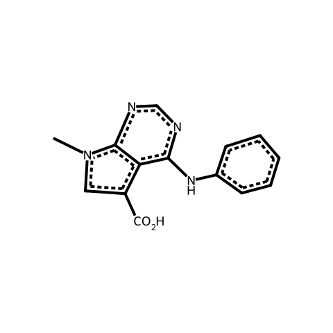 Cn1cc(C(=O)O)c2c(Nc3ccccc3)ncnc21